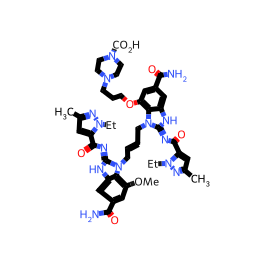 CCn1nc(C)cc1C(=O)/N=c1\[nH]c2cc(C(N)=O)cc(OC)c2n1C/C=C/Cn1/c(=N/C(=O)c2cc(C)nn2CC)[nH]c2cc(C(N)=O)cc(OCCCN3CCN(C(=O)O)CC3)c21